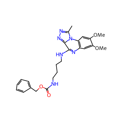 COc1cc2nc(NCCCCNC(=O)OCc3ccccc3)c3nnc(C)n3c2cc1OC